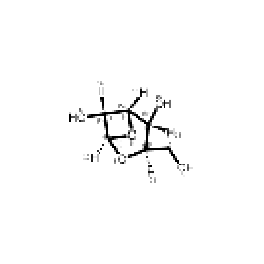 OC[C@H]1O[C@@H]2O[C@H]([C@H]2O)[C@@H]1O